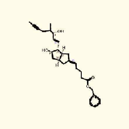 CC#CCC(C)[C@H](O)/C=C/[C@@H]1[C@H]2C/C(=C/CCCC(=O)OCc3ccccc3)C[C@H]2C[C@H]1O